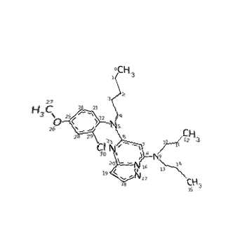 CCCCCN(c1cc(N(CCC)CCC)n2nccc2n1)c1ccc(OC)cc1Cl